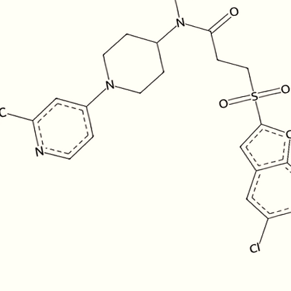 Cc1cc(N2CCC(N(C)C(=O)CCS(=O)(=O)c3cc4cc(Cl)ccc4o3)CC2)ccn1